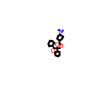 CN(C)c1ccc(C2OCC(C(=O)c3ccccc3)(c3ccccc3)O2)cc1